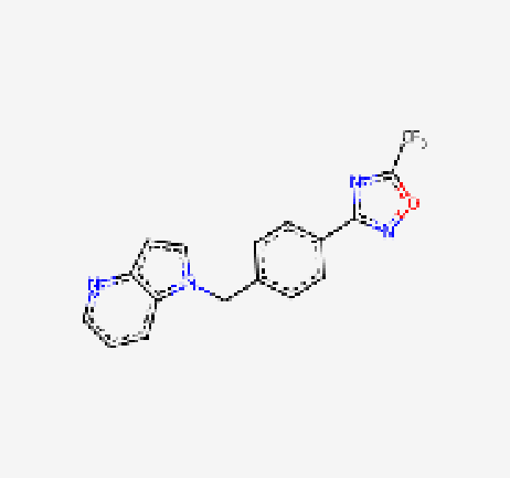 FC(F)(F)c1nc(-c2ccc(Cn3ccc4ncccc43)cc2)no1